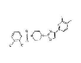 Cc1ccc(-c2csc(N3CCN(S(=O)(=O)c4cccc(Cl)c4Cl)CC3)n2)cc1C